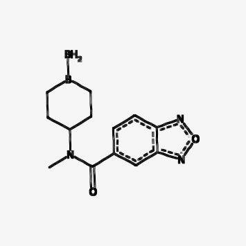 BB1CCC(N(C)C(=O)c2ccc3nonc3c2)CC1